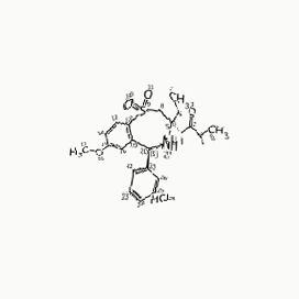 CCC(=O)C[C@@]1(CC)CS(=O)(=O)c2ccc(OC)cc2[C@H](c2ccccc2)N1.Cl